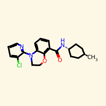 C[C@H]1CC[C@H](NC(=O)c2cccc3c2OCCN3c2ncccc2Cl)CC1